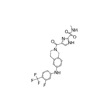 CNS(=O)(=O)c1nc(C(=O)N2CCc3cc(Nc4ccc(C(F)(F)F)c(F)c4)ccc3C2)c[nH]1